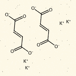 O=C([O-])C=CC(=O)[O-].O=C([O-])C=CC(=O)[O-].[K+].[K+].[K+].[K+]